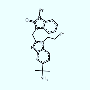 CC(C)CCn1c(Cn2c(=O)n(C(C)C)c3ccccc32)nc2cc(C(C)(C)N)ccc21